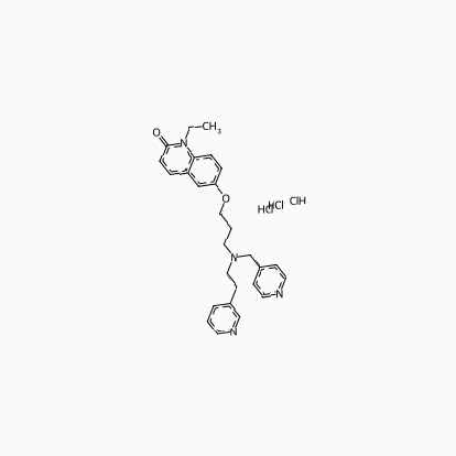 CCn1c(=O)ccc2cc(OCCCN(CCc3cccnc3)Cc3ccncc3)ccc21.Cl.Cl.Cl